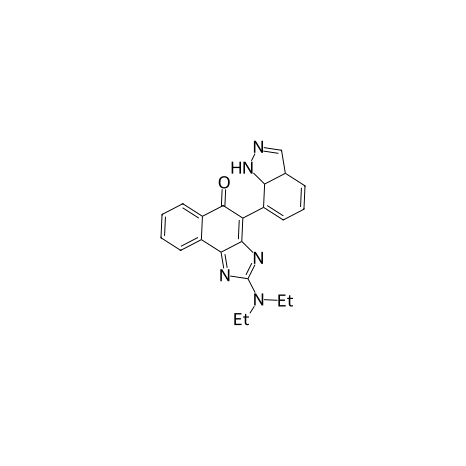 CCN(CC)C1=NC2=C(C3=CC=CC4C=NNC34)C(=O)c3ccccc3C2=N1